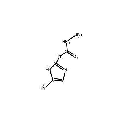 CC(C)c1cnc(NC(=O)NC(C)(C)C)[nH]1